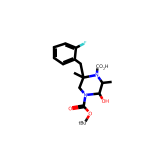 CC1C(O)N(C(=O)OC(C)(C)C)CC(C)(Cc2ccccc2F)N1C(=O)O